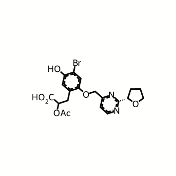 CC(=O)OC(Cc1cc(O)c(Br)cc1OCc1ccnc([C@@H]2CCCO2)n1)C(=O)O